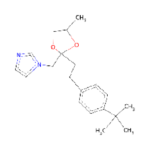 CC1COC(CCc2ccc(C(C)(C)C)cc2)(Cn2ccnc2)O1